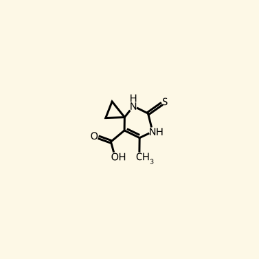 CC1=C(C(=O)O)C2(CC2)NC(=S)N1